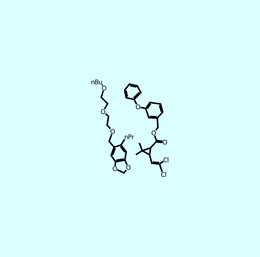 CC1(C)C(C=C(Cl)Cl)C1C(=O)OCc1cccc(Oc2ccccc2)c1.CCCCOCCOCCOCc1cc2c(cc1CCC)OCO2